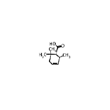 C[C@H]1C=CCC(C)(C)[C@H]1C(=O)O